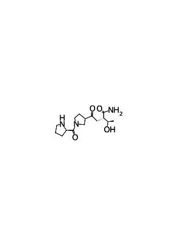 C[C@@H](O)[C@H](CC(=O)C1CCN(C(=O)[C@H]2CCCN2)C1)C(N)=O